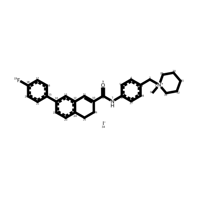 C[N+]1(Cc2ccc(NC(=O)C3=Cc4cc(-c5ccc(F)cc5)ccc4CC3)cc2)CCCCC1.[I-]